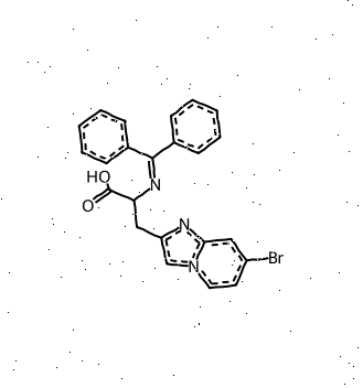 O=C(O)C(Cc1cn2ccc(Br)cc2n1)N=C(c1ccccc1)c1ccccc1